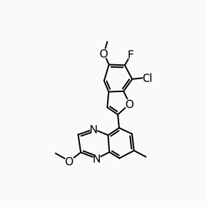 COc1cnc2c(-c3cc4cc(OC)c(F)c(Cl)c4o3)cc(C)cc2n1